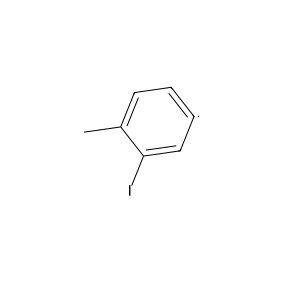 Cc1cc[c]cc1I